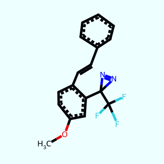 COc1ccc(C=Cc2ccccc2)c(C2(C(F)(F)F)N=N2)c1